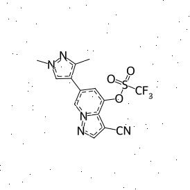 Cc1nn(C)cc1-c1cc(OS(=O)(=O)C(F)(F)F)c2c(C#N)cnn2c1